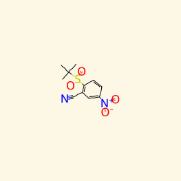 CC(C)(C)S(=O)(=O)c1ccc([N+](=O)[O-])cc1C#N